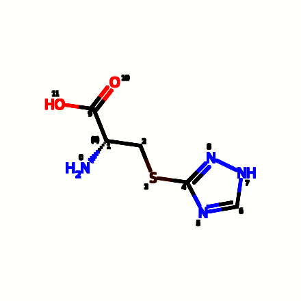 N[C@@H](CSc1nc[nH]n1)C(=O)O